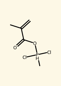 C=C(C)C(=O)O[PH](C)(Cl)Cl